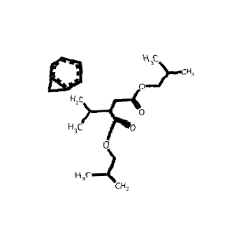 CC(C)COC(=O)CC(C(=O)OCC(C)C)C(C)C.c1ccc2c(c1)C2